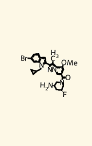 COc1cc(C(=O)N2C[C@H](N)C[C@@H](F)C2)cn2nc(-c3cc4ccc(Br)cc4n3CC3CC3)c(C)c12